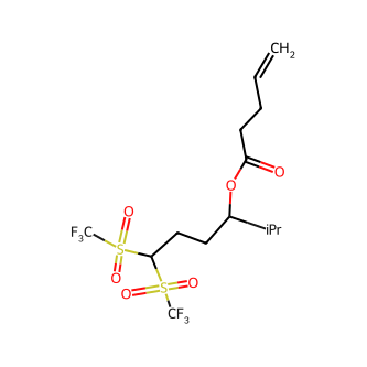 C=CCCC(=O)OC(CCC(S(=O)(=O)C(F)(F)F)S(=O)(=O)C(F)(F)F)C(C)C